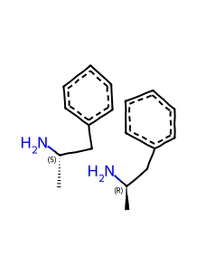 C[C@@H](N)Cc1ccccc1.C[C@H](N)Cc1ccccc1